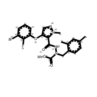 COC(=O)N(Cc1ccc(C)cc1C)NC(=O)c1c(Oc2cccc(Br)c2F)cnn1C